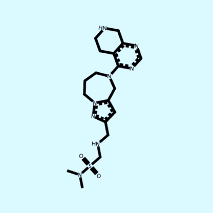 CN(C)S(=O)(=O)CNCc1cc2n(n1)CCCN(c1ncnc3c1CCNC3)C2